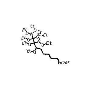 CCCCCCCCCCCCCCCC(OCC)C(OCC)(N(OCC)OCC)C(OCC)(OCC)N(OCC)OCC